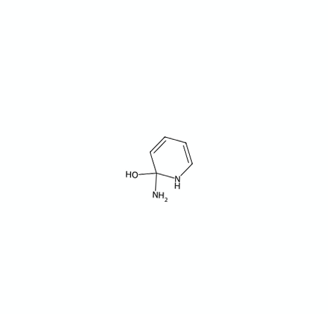 NC1(O)C=CC=CN1